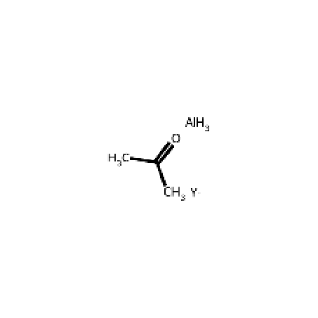 CC(C)=O.[AlH3].[Y]